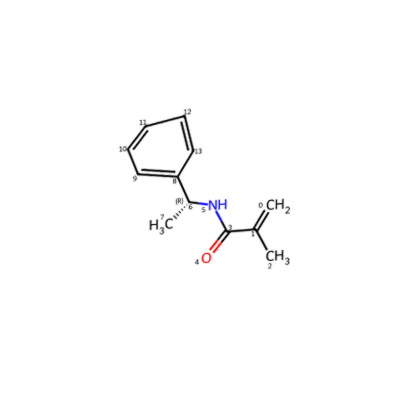 C=C(C)C(=O)N[C@H](C)c1ccccc1